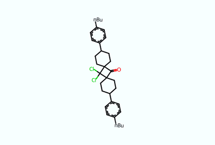 CCCCc1ccc(C2CCC3(CC2)C(=O)C2(CCC(c4ccc(CCCC)cc4)CC2)C3(Cl)Cl)cc1